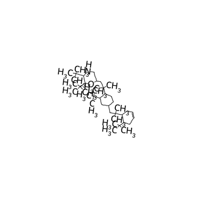 CC(C)(C)C1CC=CCC1C(C)(C)CC1CCC(C(C)(C)CC2CNC(C(C)(C)C)[C@H](C(C)(C)C)O2)C(C(C)(C)C)C1